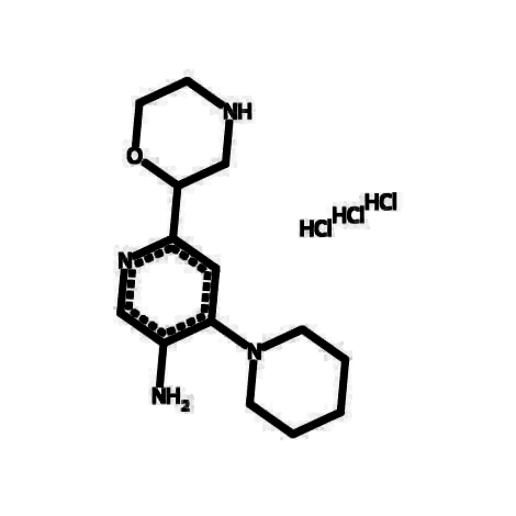 Cl.Cl.Cl.Nc1cnc(C2CNCCO2)cc1N1CCCCC1